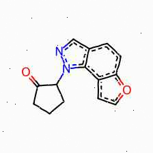 O=C1CCCC1n1ncc2ccc3occc3c21